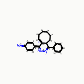 N=C1C=CC(=C2NN=C(c3ccccc3)C3CCCCC/C=C/23)C=C1